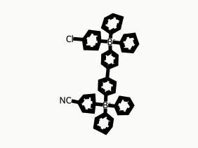 N#Cc1ccc([B-](c2ccccc2)(c2ccccc2)c2ccc(-c3ccc([B-](c4ccccc4)(c4ccccc4)c4ccc(Cl)cc4)cc3)cc2)cc1